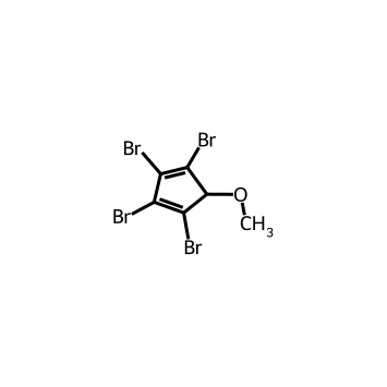 COC1C(Br)=C(Br)C(Br)=C1Br